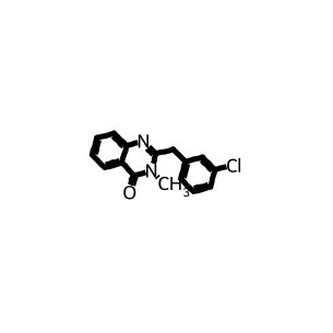 Cn1c(Cc2cccc(Cl)c2)nc2ccccc2c1=O